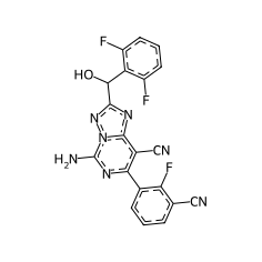 N#Cc1cccc(-c2nc(N)n3nc(C(O)c4c(F)cccc4F)nc3c2C#N)c1F